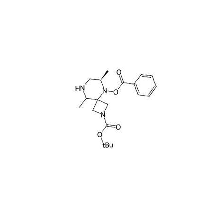 CC1NC[C@@H](C)N(OC(=O)c2ccccc2)C12CN(C(=O)OC(C)(C)C)C2